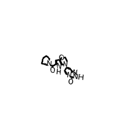 O=C(c1cc2c([nH]1)N(c1ccn3c(=O)[nH]nc3c1)CCO2)N1CCCCC1